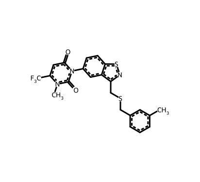 Cc1cccc(CSCc2nsc3ccc(-n4c(=O)cc(C(F)(F)F)n(C)c4=O)cc23)c1